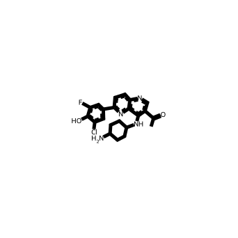 CC(=O)c1cnc2ccc(-c3cc(F)c(O)c(Cl)c3)nc2c1NC1CCC(N)CC1